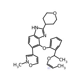 C/C=C\OC(C)c1ccccc1Oc1c(C2=CN(C)OC=C2)ccc2[nH]c(C3CCOCC3)nc12